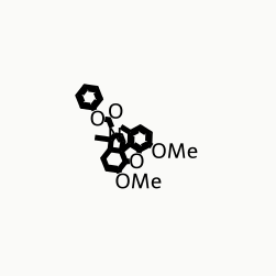 COC1=CCC2C(C)N(C(=O)Oc3ccccc3)CCC23c2c(C)ccc(OC)c2OC13